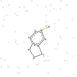 [S]c1ccc2c(c1)CCC2